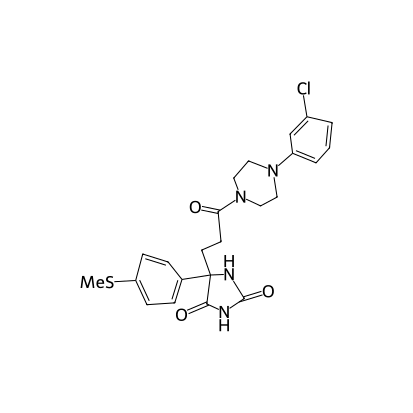 CSc1ccc(C2(CCC(=O)N3CCN(c4cccc(Cl)c4)CC3)NC(=O)NC2=O)cc1